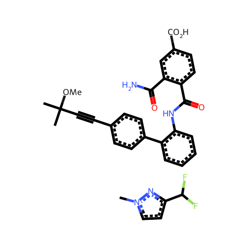 COC(C)(C)C#Cc1ccc(-c2ccccc2NC(=O)c2ccc(C(=O)O)cc2C(N)=O)cc1.Cn1ccc(C(F)F)n1